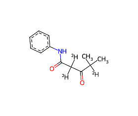 [2H]C(C)(C)C(=O)C([2H])([2H])C(=O)Nc1ccccc1